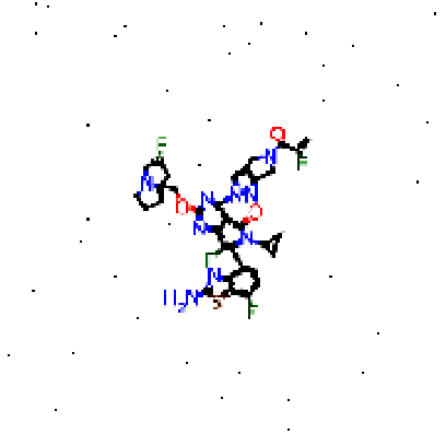 C=C(F)C(=O)N1Cc2cn(-c3nc(OC[C@@]45CCCN4C[C@H](F)C5)nc4c(F)c(-c5ccc(F)c6sc(N)nc56)n(C5CC5)c(=O)c34)nc2C1